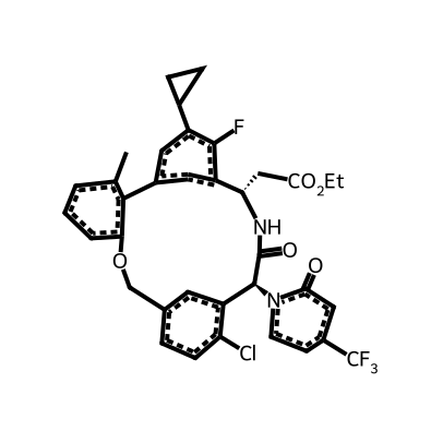 CCOC(=O)C[C@@H]1NC(=O)[C@@H](n2ccc(C(F)(F)F)cc2=O)c2cc(ccc2Cl)COc2cccc(C)c2-c2cc(C3CC3)c(F)c1c2